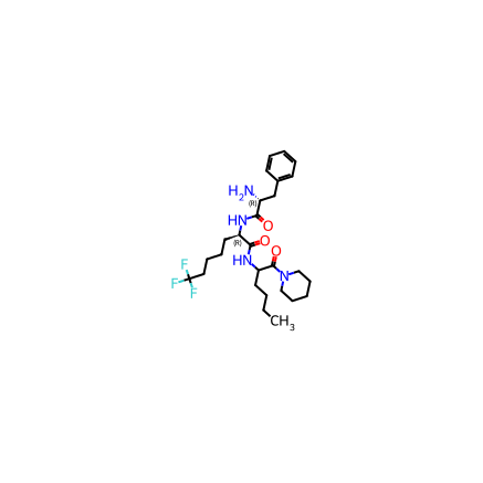 CCCCC(NC(=O)[C@@H](CCCCC(F)(F)F)NC(=O)[C@H](N)Cc1ccccc1)C(=O)N1CCCCC1